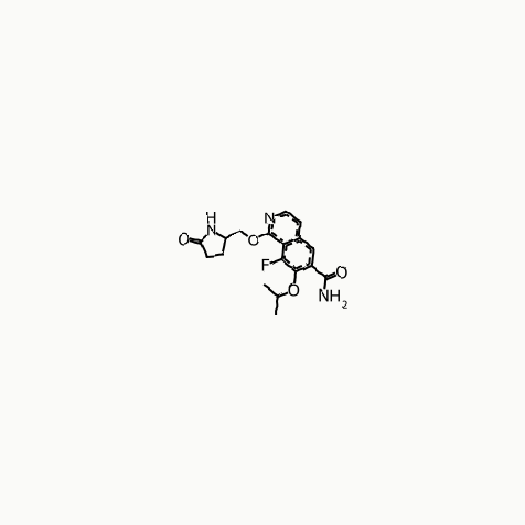 CC(C)Oc1c(C(N)=O)cc2ccnc(OCC3CCC(=O)N3)c2c1F